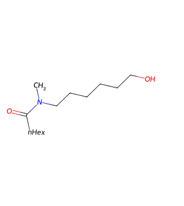 CCCCCCC(=O)N(C)CCCCCCO